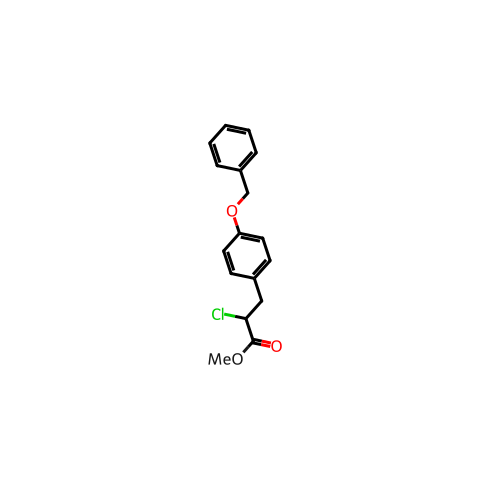 COC(=O)C(Cl)Cc1ccc(OCc2ccccc2)cc1